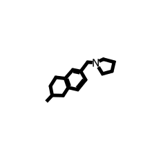 CC1CCc2cc(CN3CCCC3)ccc2C1